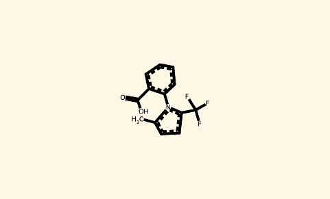 Cc1ccc(C(F)(F)F)n1-c1ccccc1C(=O)O